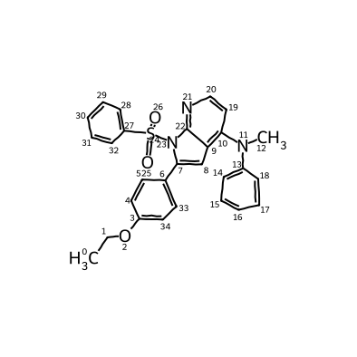 CCOc1ccc(-c2cc3c(N(C)c4ccccc4)ccnc3n2S(=O)(=O)c2ccccc2)cc1